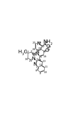 CC1CCN(c2nc3ccccc3cc2-c2cc(=O)c3c(C(N)=O)nccc3[nH]2)CC1